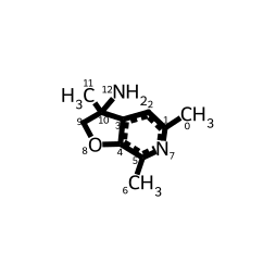 Cc1cc2c(c(C)n1)OCC2(C)N